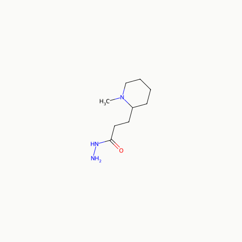 CN1CCCCC1CCC(=O)NN